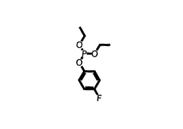 CCOP(OCC)Oc1ccc(F)cc1